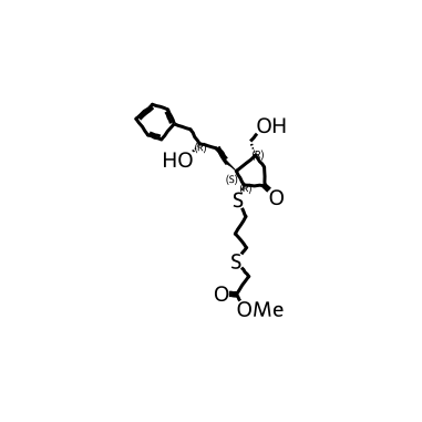 COC(=O)CSCCCS[C@H]1C(=O)C[C@@H](CO)[C@@H]1C=C[C@H](O)Cc1ccccc1